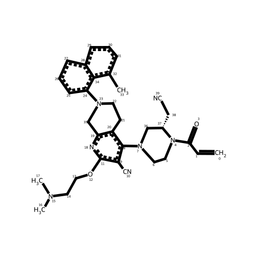 C=CC(=O)N1CCN(c2c(C#N)c(OCCN(C)C)nc3c2CCN(c2cccc4cccc(C)c24)C3)C[C@@H]1CC#N